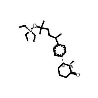 CC[Si](CC)(CC)OC(C)(C)CCC(C)c1ccc([C@H]2CCCC(=O)[C@@H]2C)cc1